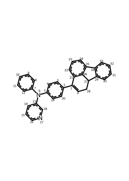 C1=C(c2ccc(N(c3ccccc3)c3cccnc3)cc2)c2cccc3c2C(C1)c1ccccc1-3